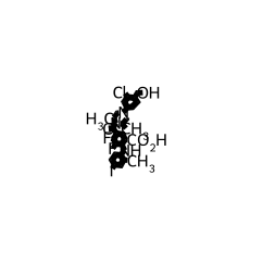 Cc1cc(I)ccc1Nc1c(C(=O)O)cc(C(=O)N2C(C)CN(c3ccc(CO)c(Cl)c3)CC2C)c(F)c1F